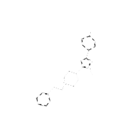 Cn1nc(-c2ccc(Cl)cc2)cc1C1CCN(CCc2ccccc2)CC1